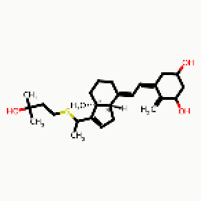 C=C1C(=CC=C2CCC[C@]3(C)C(C(C)SCCC(C)(C)O)=CC[C@@H]23)CC(O)CC1O